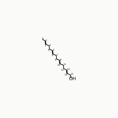 CC=CCCC=CCCC=CCCC=CCO